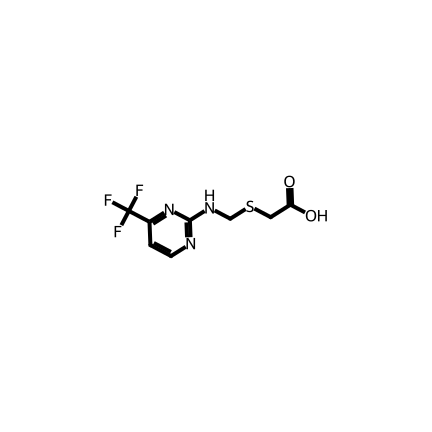 O=C(O)CSCNc1nccc(C(F)(F)F)n1